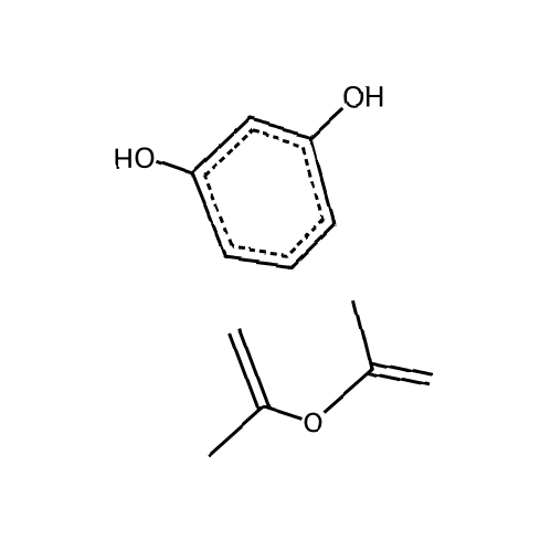 C=C(C)OC(=C)C.Oc1cccc(O)c1